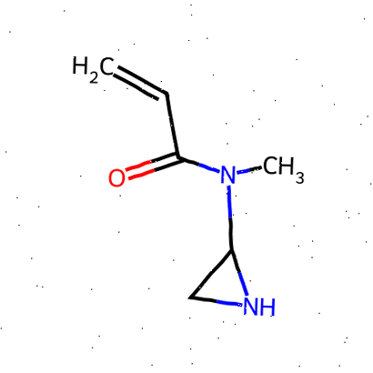 C=CC(=O)N(C)C1CN1